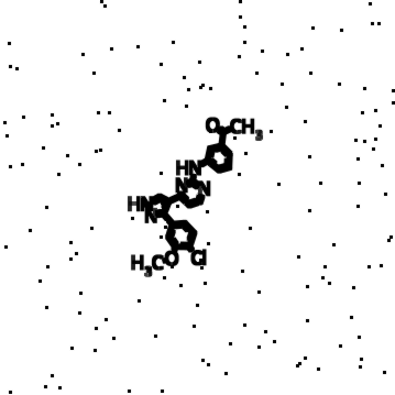 COc1cc(-c2n[nH]cc2-c2ccnc(Nc3cccc(C(C)=O)c3)n2)ccc1Cl